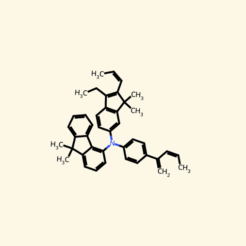 C=C(/C=C\C)c1ccc(N(c2ccc3c(c2)C(C)(C)C(/C=C\C)=C3CC)c2cccc3c2-c2ccccc2C3(C)C)cc1